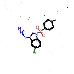 Cc1ccc(S(=O)(=O)N2CC(N=[N+]=[N-])c3cc(Br)ccc32)cc1